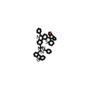 c1ccc(-c2nc(-c3ccc4nc(-c5ccccc5)c5ccc6c(c5c4c3)Sc3ccccc3C63c4ccccc4-c4ccccc43)nc(-c3cccc4oc5ccccc5c34)n2)cc1